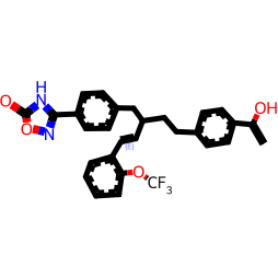 C=C(O)c1ccc(CCC(/C=C/c2ccccc2OC(F)(F)F)Cc2ccc(-c3noc(=O)[nH]3)cc2)cc1